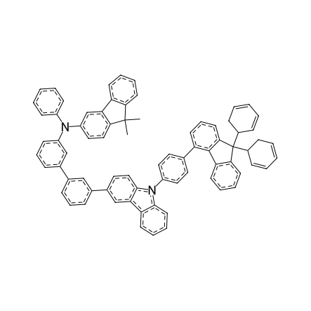 CC1(C)c2ccccc2-c2cc(N(c3ccccc3)c3cccc(-c4cccc(-c5ccc6c(c5)c5ccccc5n6-c5ccc(-c6cccc7c6-c6ccccc6C7(C6C=CC=CC6)C6C=CC=CC6)cc5)c4)c3)ccc21